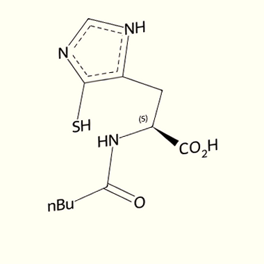 CCCCC(=O)N[C@@H](Cc1[nH]cnc1S)C(=O)O